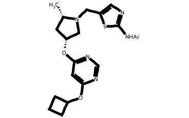 CC(=O)Nc1ncc(CN2C[C@H](Oc3cc(OC4CCC4)ncn3)C[C@@H]2C)s1